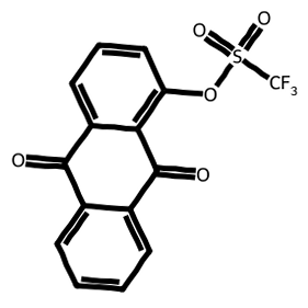 O=C1c2ccccc2C(=O)c2c(OS(=O)(=O)C(F)(F)F)cccc21